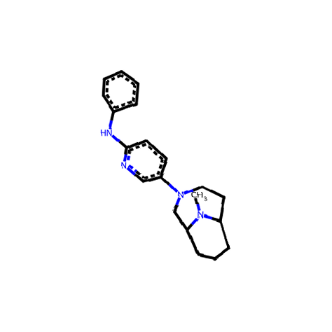 CN1C2CCCC1CN(c1ccc(Nc3ccccc3)nc1)CC2